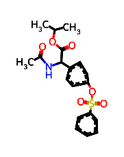 CC(=O)NC(C(=O)OC(C)C)c1ccc(OS(=O)(=O)c2ccccc2)cc1